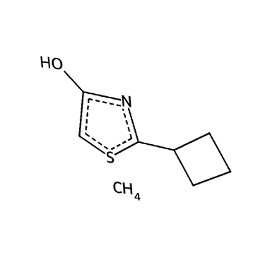 C.Oc1csc(C2CCC2)n1